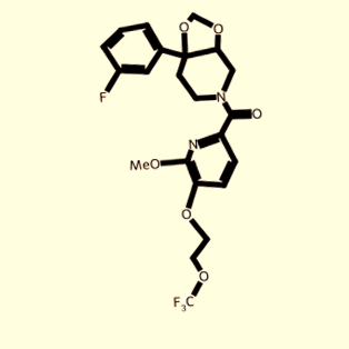 COc1nc(C(=O)N2CCC3(c4cccc(F)c4)OCOC3C2)ccc1OCCOC(F)(F)F